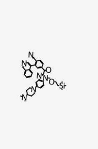 CN(C)C1CCN(c2ccc3c(c2)nc(C(=O)c2ccc(C#N)c(-c4cncc5ccccc45)c2)n3COCC[Si](C)(C)C)CC1